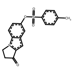 Cc1ccc(S(=O)(=O)Oc2ccc3c(c2)cc2n3CCC2=O)cc1